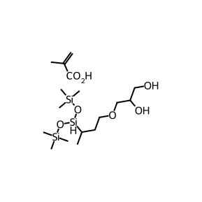 C=C(C)C(=O)O.CC(CCOCC(O)CO)[SiH](O[Si](C)(C)C)O[Si](C)(C)C